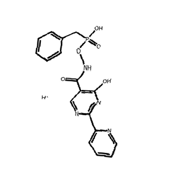 O=C(NOP(=O)(O)Cc1ccccc1)c1cnc(-c2ccccn2)nc1O.[H+]